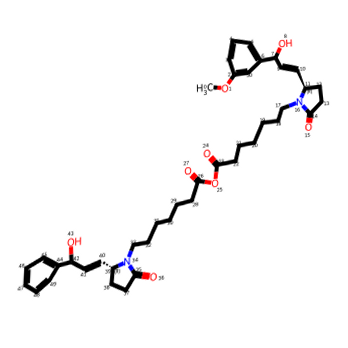 COc1cccc(C(O)C=C[C@H]2CCC(=O)N2CCCCCCC(=O)OC(=O)CCCCCCN2C(=O)CC[C@@H]2C=CC(O)c2ccccc2)c1